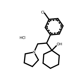 Cl.OC1(C(CN2CCCC2)c2cccc(Cl)c2)CCCCC1